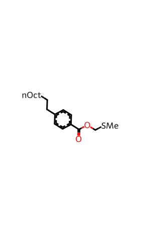 CCCCCCCCCCc1ccc(C(=O)OCSC)cc1